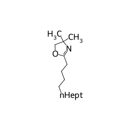 CCCCCCCCCCCC1=NC(C)(C)CO1